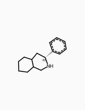 c1ccc([C@H]2CC3CCCCC3CN2)cc1